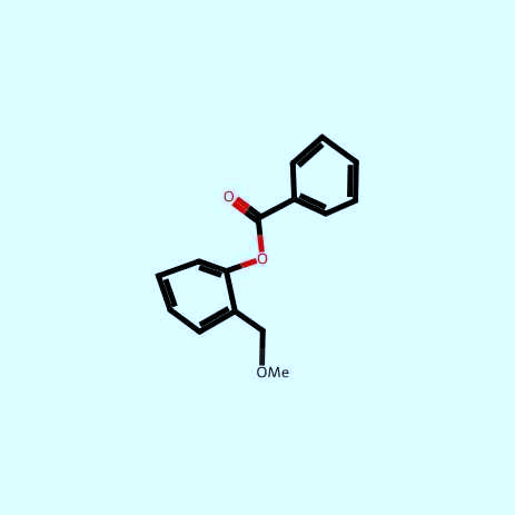 COCc1ccccc1OC(=O)c1ccccc1